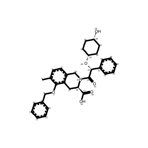 Cc1ccc2c(c1OCc1ccccc1)C[C@H](C(=O)O)N(C(=O)[C@H](O[C@H]1CC[C@@H](O)CC1)c1ccccc1)C2